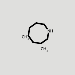 C.C.C1CCCNCCC1